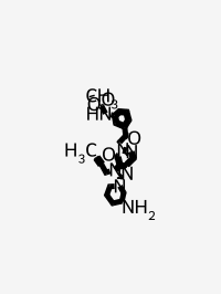 CC#CCn1c(N2CCCC(N)C2)nc2cnn(CC(=O)c3cccc(NC(=O)OC)c3)c(=O)c21